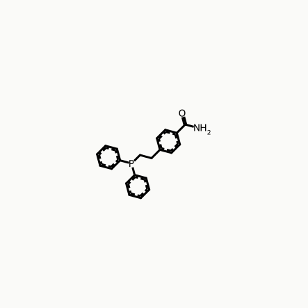 NC(=O)c1ccc(CCP(c2ccccc2)c2ccccc2)cc1